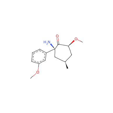 COc1cccc([C@@]2(N)C[C@H](C)C[C@H](OC)C2=O)c1